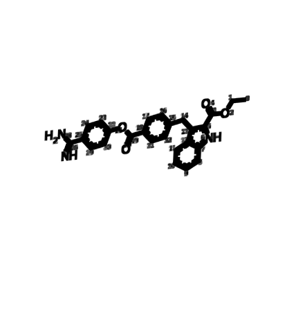 CCOC(=O)c1[nH]c2ccccc2c1Cc1ccc(C(=O)Oc2ccc(C(=N)N)cc2)cc1